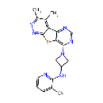 Cc1nnc2sc3c(N4CC(Nc5ncccc5C#N)C4)ncnc3c2c1C